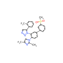 Cc1nc(C(F)(F)F)cn1-c1ccc(-c2cccc(S(C)(=O)=O)c2)cc1-n1nncc1-c1cc[c]cc1C(F)(F)F